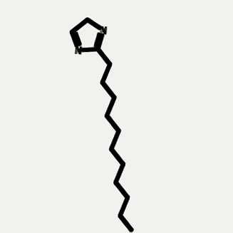 CCCCCCCCCCCC1=NCC=N1